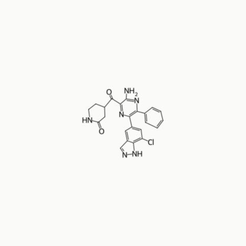 Nc1nc(-c2ccccc2)c(-c2cc(Cl)c3[nH]ncc3c2)nc1C(=O)C1CCNC(=O)C1